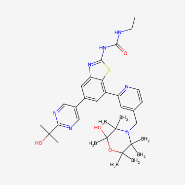 BC1(B)OC(B)(O)C(B)(B)N(Cc2ccnc(-c3cc(-c4cnc(C(C)(C)O)nc4)cc4nc(NC(=O)NCC)sc34)c2)C1(B)B